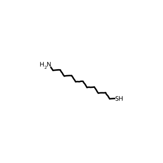 NCCCCCCCCCCCS